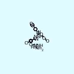 COCCOCCOc1nn([C@H]2CC[C@H](N3CCOCC3)CC2)cc1Nc1ncc(-c2ccc(Cl)c(O[C@@H](C)CN(C=N)NN)c2)cn1